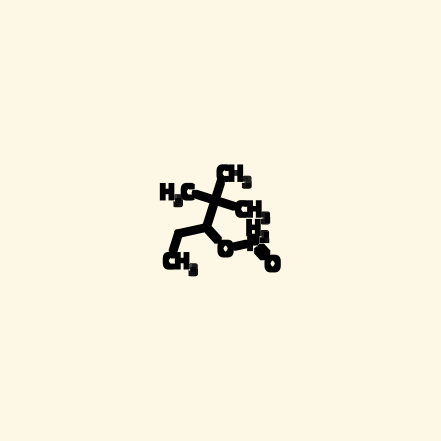 CCC(O[PH2]=O)C(C)(C)C